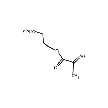 CCCCCCCOC(=O)C(C)=N